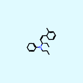 CCCN(C1=CCCC=C1)[C@@H](/C=C\C1CC=CC=C1C)CC